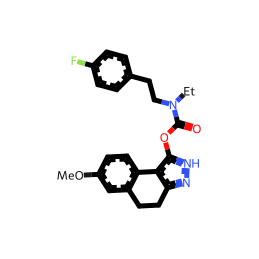 CCN(CCc1ccc(F)cc1)C(=O)Oc1[nH]nc2c1-c1ccc(OC)cc1CC2